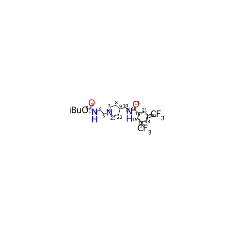 CC(C)COC(=O)NCCN1CCC(CNC(=O)c2cc(C(F)(F)F)cc(C(F)(F)F)c2)CC1